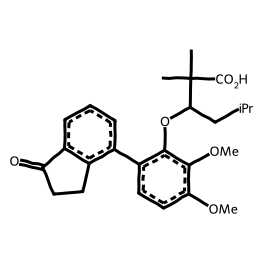 COc1ccc(-c2cccc3c2CCC3=O)c(OC(CC(C)C)C(C)(C)C(=O)O)c1OC